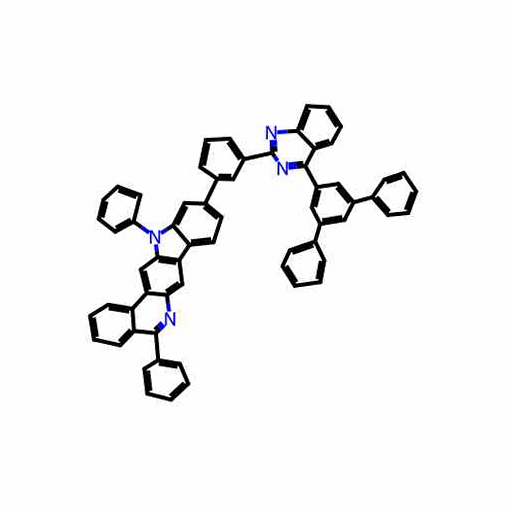 c1ccc(-c2cc(-c3ccccc3)cc(-c3nc(-c4cccc(-c5ccc6c7cc8nc(-c9ccccc9)c9ccccc9c8cc7n(-c7ccccc7)c6c5)c4)nc4ccccc34)c2)cc1